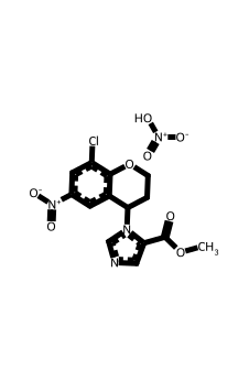 COC(=O)c1cncn1C1CCOc2c(Cl)cc([N+](=O)[O-])cc21.O=[N+]([O-])O